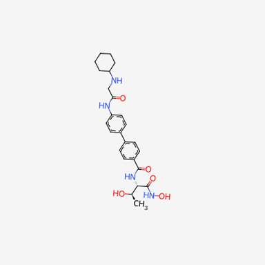 C[C@@H](O)[C@H](NC(=O)c1ccc(-c2ccc(NC(=O)CNC3CCCCC3)cc2)cc1)C(=O)NO